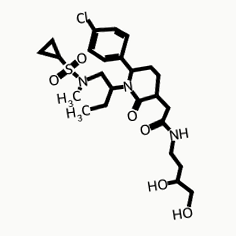 CCC(CN(C)S(=O)(=O)C1CC1)N1C(=O)C(CC(=O)NCCC(O)CO)CCC1c1ccc(Cl)cc1